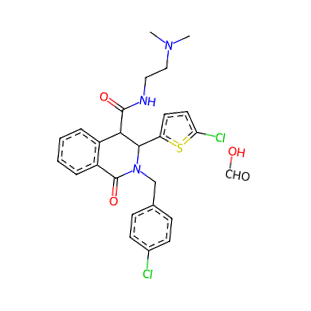 CN(C)CCNC(=O)C1c2ccccc2C(=O)N(Cc2ccc(Cl)cc2)C1c1ccc(Cl)s1.O=CO